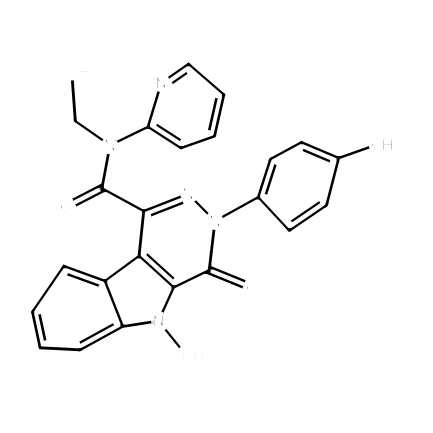 CCN(C(=O)c1nn(-c2ccc(C)cc2)c(=O)c2c1c1ccccc1n2C)c1ccccn1